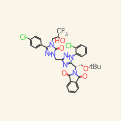 CC(C)(C)OC[C@@H](c1nc(Cn2nc(-c3ccc(Cl)cc3)n(C[C@H](O)C(F)(F)F)c2=O)nn1-c1ccccc1Cl)N1C(=O)c2ccccc2C1=O